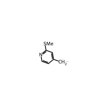 [CH2]c1ccnc(SC)c1